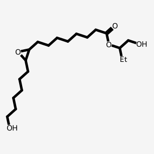 CCC(CO)OC(=O)CCCCCCCC1OC1CCCCCCO